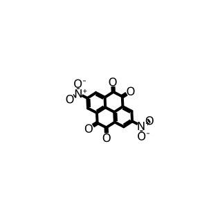 O=c1c(=O)c2cc([N+](=O)[O-])cc3c2-c2c1cc([N+](=O)[O-])cc2c(=O)c3=O